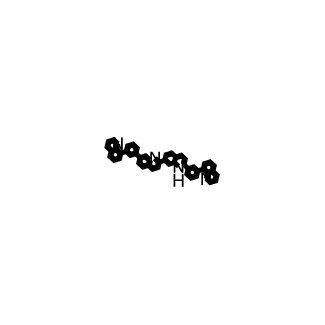 C1=CC2=CC=C(c3cccc(-c4cccc5cccnc45)c3)NC2C=C1c1ccc2ccc(-c3cccc(-c4cccc5cccnc45)c3)cc2n1